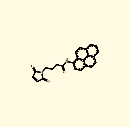 O=C(CCCN1C(=O)C=CC1=O)Nc1ccc2ccc3cccc4ccc1c2c34